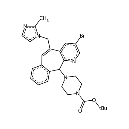 Cc1nccn1CC1=Cc2ccccc2C(N2CCN(C(=O)OC(C)(C)C)CC2)c2ncc(Br)cc21